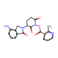 Cc1ncccc1C(=O)ON1C(=O)CCC(N2Cc3c(N)cccc3C2=O)C1=O